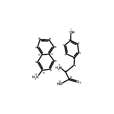 NC(Cc1ccc(O)cc1)C(=O)O.Nc1ccc2ccccc2c1